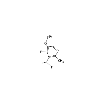 CCCOc1ccc(C)c(C(F)F)c1F